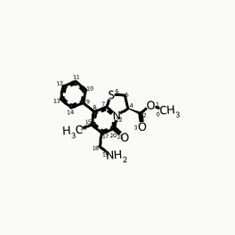 COC(=O)[C@@H]1CSc2c(-c3ccccc3)c(C)c(CN)c(=O)n21